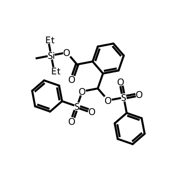 CC[Si](C)(CC)OC(=O)c1ccccc1C(OS(=O)(=O)c1ccccc1)OS(=O)(=O)c1ccccc1